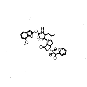 CCCC(NC(=O)Oc1cc2cccc(OC)c2o1)C(=O)N1CCC2C1C(=O)CN2S(=O)(=O)C(=O)c1ccccn1